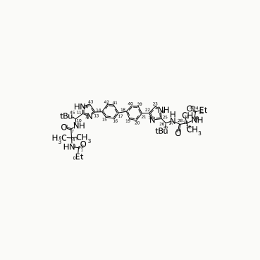 CCC(=O)NC(C)(C)C(=O)N[C@H](c1nc(-c2ccc(-c3ccc(-c4c[nH]c([C@@H](NC(=O)C(C)(C)NC(=O)CC)C(C)(C)C)n4)cc3)cc2)c[nH]1)C(C)(C)C